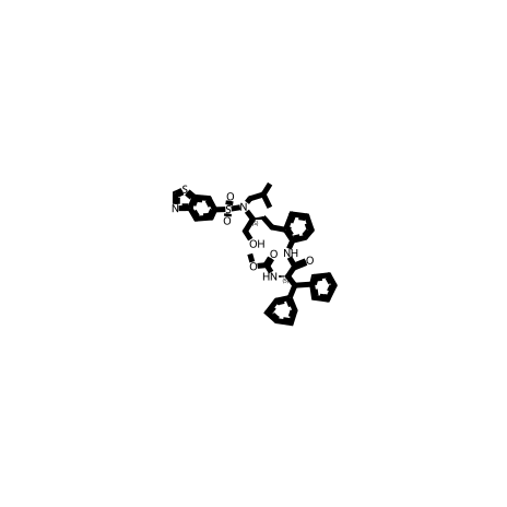 COC(=O)N[C@H](C(=O)Nc1ccccc1CC[C@@H](CO)N(CC(C)C)S(=O)(=O)c1ccc2ncsc2c1)C(c1ccccc1)c1ccccc1